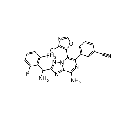 Cc1ncoc1-c1c(-c2cccc(C#N)c2)nc(N)c2nc(C(N)c3c(F)cccc3F)nn12